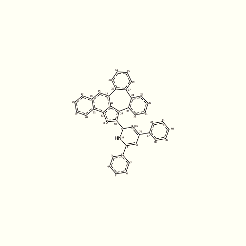 C1=C(c2ccccc2)NC(c2sc3c4c(cc5ccccc53)-c3ccccc3-c3ccccc3-c24)N=C1c1ccccc1